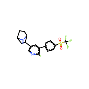 O=S(=O)(c1ccc(-c2cc(C3CC4CCC3N4)cnc2F)cc1)C(F)(F)F